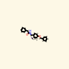 CI.O=C(Cc1ccccc1)NCc1ccc(OCc2ccccc2)cc1